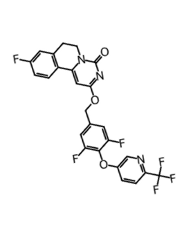 O=c1nc(OCc2cc(F)c(Oc3ccc(C(F)(F)F)nc3)c(F)c2)cc2n1CCc1cc(F)ccc1-2